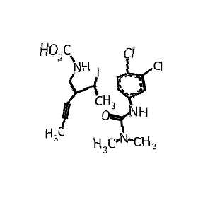 CC#CC(CNC(=O)O)C(C)I.CN(C)C(=O)Nc1ccc(Cl)c(Cl)c1